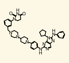 O=C1CCN(c2cccc(CN3CCN(C4CCN(c5ccc(Nc6ncc7nc(Nc8ccccc8)n(C8CCCC8)c7n6)cc5)CC4)CC3)c2)C(=O)N1